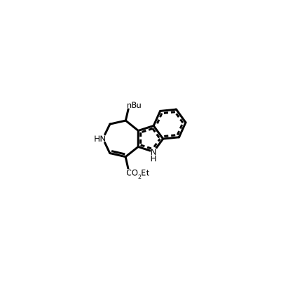 CCCCC1CNC=C(C(=O)OCC)c2[nH]c3ccccc3c21